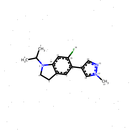 CC(C)N1CCc2cc(-c3cnn(C)c3)c(F)cc21